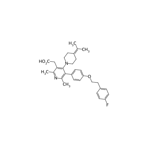 CC(C)=C1CCN(c2c(CC(=O)O)c(C)nc(C)c2-c2ccc(OCCc3ccc(F)cc3)cc2)CC1